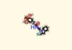 COc1cc(/C=C/C(=O)NCCn2c(CF)cc3ccccc32)cc(OC)c1OC